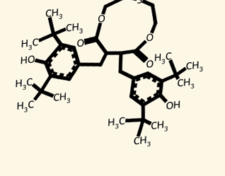 CC(C)(C)c1cc(CC2C(=O)OCCSCCOC(=O)C2Cc2cc(C(C)(C)C)c(O)c(C(C)(C)C)c2)cc(C(C)(C)C)c1O